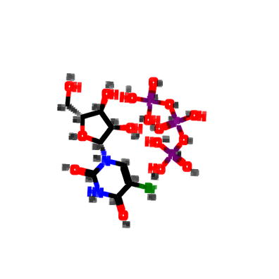 O=P(O)(O)OP(=O)(O)OP(=O)(O)O.O=c1[nH]c(=O)n([C@@H]2O[C@H](CO)[C@@H](O)[C@H]2O)cc1Br